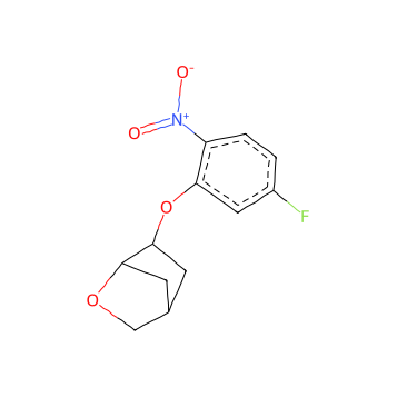 O=[N+]([O-])c1ccc(F)cc1OC1CC2COC1C2